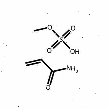 C=CC(N)=O.COS(=O)(=O)O